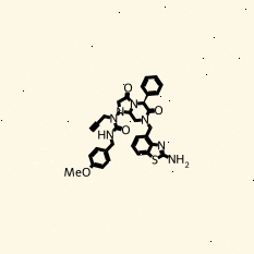 C#CCN(C(=O)NCc1ccc(OC)cc1)N1CC(=O)N2C1CN(Cc1cccc3sc(N)nc13)C(=O)[C@@H]2c1ccccc1